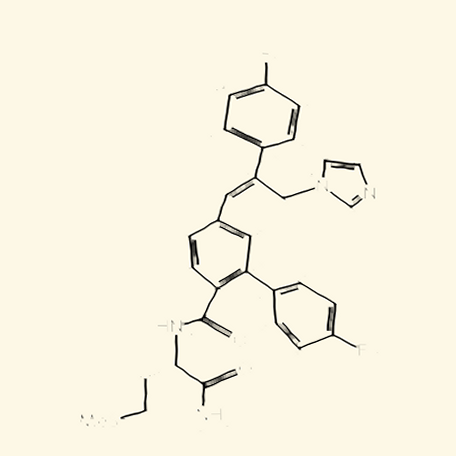 CSCC[C@H](NC(=O)c1ccc(/C=C(\Cn2ccnc2)c2ccc(F)cc2)cc1-c1ccc(F)cc1)C(N)=O